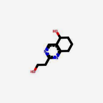 OCCc1ncc2c(n1)CCCC2O